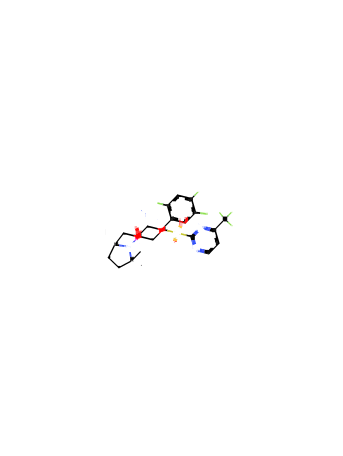 N[C@H](Cc1cc(F)c(F)cc1F)[C@@H]1C[C@H]2CC[C@@H](C1)N2C(=O)CCS(=O)(=O)c1nccc(C(F)(F)F)n1